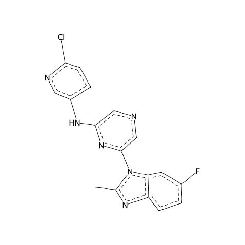 Cc1nc2ccc(F)cc2n1-c1cncc(Nc2ccc(Cl)nc2)n1